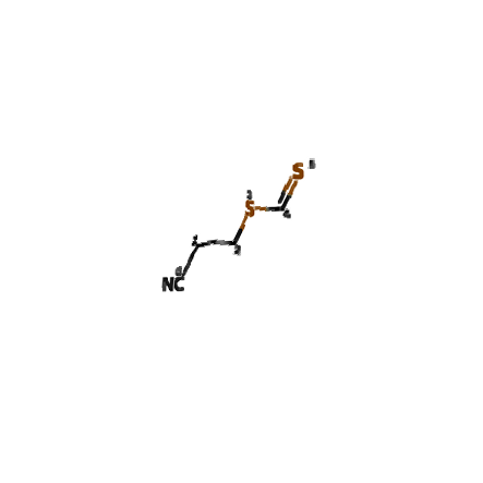 N#CCCSC=S